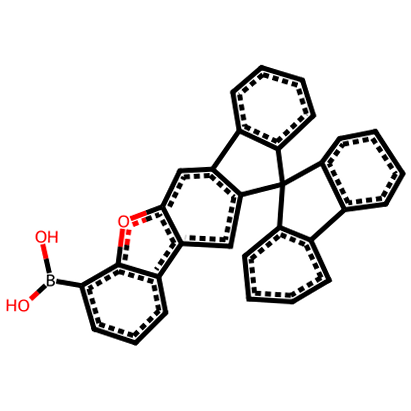 OB(O)c1cccc2c1oc1cc3c(cc12)C1(c2ccccc2-c2ccccc21)c1ccccc1-3